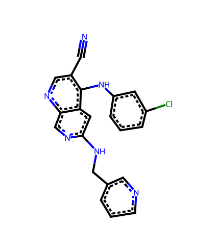 N#Cc1cnc2cnc(NCc3cccnc3)cc2c1Nc1cccc(Cl)c1